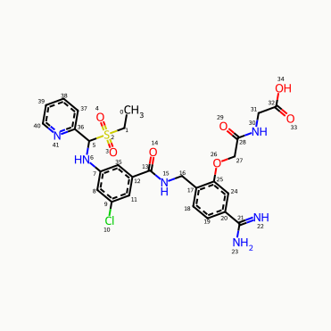 CCS(=O)(=O)C(Nc1cc(Cl)cc(C(=O)NCc2ccc(C(=N)N)cc2OCC(=O)NCC(=O)O)c1)c1ccccn1